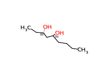 CCCC[C@H](O)C[C@@H](O)CC